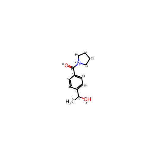 CC(O)c1ccc(C(=O)N2CCCC2)cc1